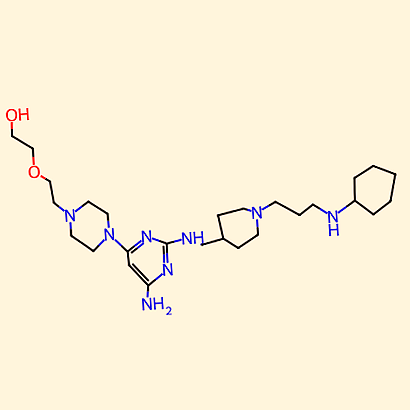 Nc1cc(N2CCN(CCOCCO)CC2)nc(NCC2CCN(CCCNC3CCCCC3)CC2)n1